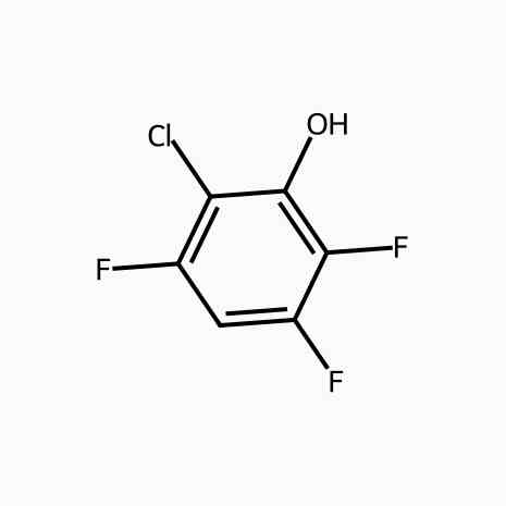 Oc1c(F)c(F)cc(F)c1Cl